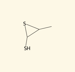 CC1SC1S